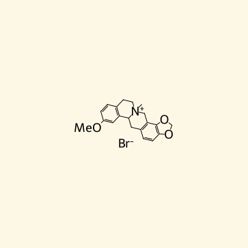 COc1ccc2c(c1)C1Cc3ccc4c(c3C[N+]1(C)CC2)OCO4.[Br-]